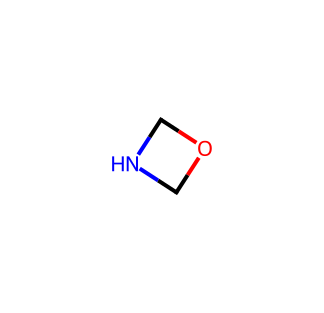 C1NCO1